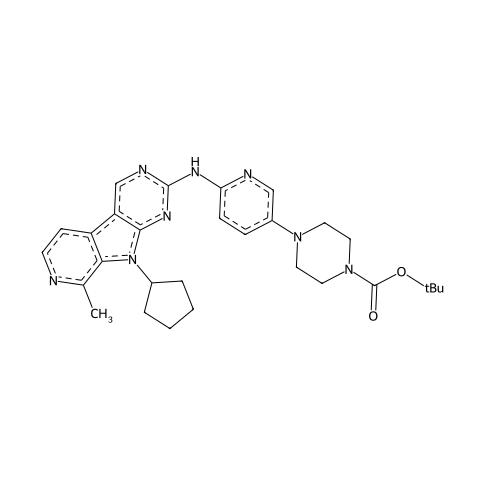 Cc1nccc2c3cnc(Nc4ccc(N5CCN(C(=O)OC(C)(C)C)CC5)cn4)nc3n(C3CCCC3)c12